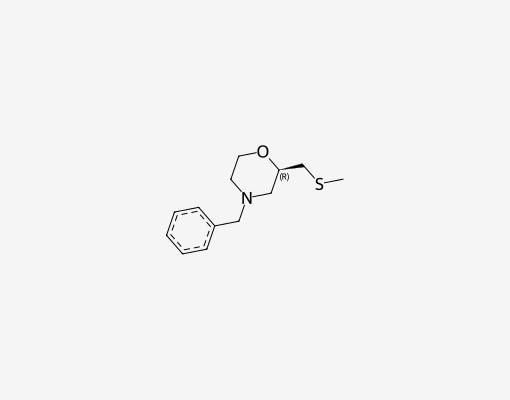 CSC[C@H]1CN(Cc2ccccc2)CCO1